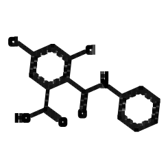 O=C(O)c1cc(Cl)cc(Cl)c1C(=O)Nc1ccccc1